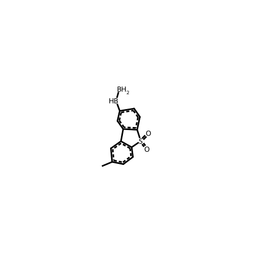 BBc1ccc2c(c1)-c1cc(C)ccc1S2(=O)=O